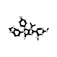 COc1ncc(-c2nc3c(n2C(C)C)[C@@H](c2ccc(Cl)cc2)N(c2ccc4ncsc4c2)C3=O)c(OC)n1